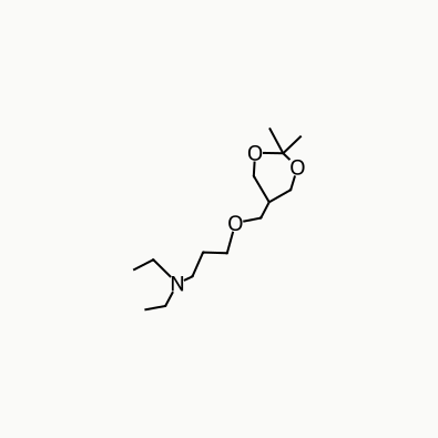 CCN(CC)CCCOCC1COC(C)(C)OC1